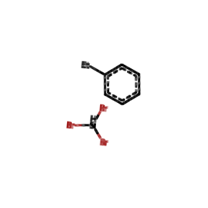 Br[SiH](Br)Br.CCc1ccccc1